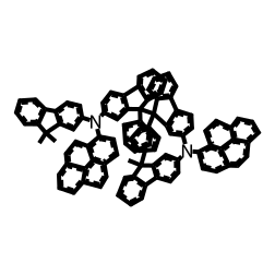 CC1(C)c2ccccc2-c2ccc(N(c3ccc4c(c3)C(c3ccccc3)(C3(c5ccccc5)c5ccccc5-c5ccc(N(c6ccc7c(c6)C(C)(C)c6ccccc6-7)c6ccc7ccc8cccc9ccc6c7c89)cc53)c3ccccc3-4)c3ccc4ccc5cccc6ccc3c4c56)cc21